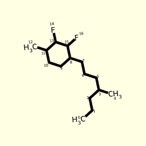 CCCC(C)CCCC1CCC(C)C(F)C1F